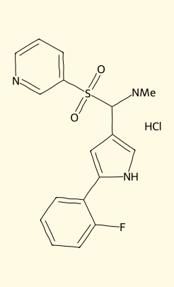 CNC(c1c[nH]c(-c2ccccc2F)c1)S(=O)(=O)c1cccnc1.Cl